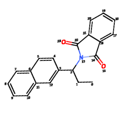 CCC(c1ccc2ccccc2c1)N1C(=O)c2ccccc2C1=O